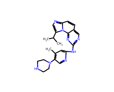 Cc1cc(Nc2ncc3ccc4ncc(C(C)C)n4c3n2)ncc1N1CCNCC1